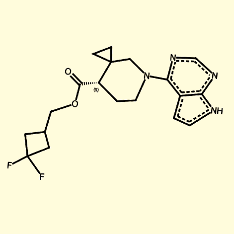 O=C(OCC1CC(F)(F)C1)[C@H]1CCN(c2ncnc3[nH]ccc23)CC12CC2